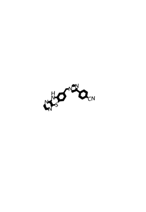 N#Cc1ccc(-c2cn(Cc3ccc4c(c3)Nc3nccnc3S4)cn2)cc1